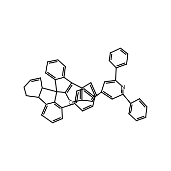 C1=Cc2oc3c(c2C=1)-c1ccccc1C31c2c(-c3ccc(-c4cc(-c5ccccc5)nc(-c5ccccc5)c4)cc3)cccc2C2CCC=CC21